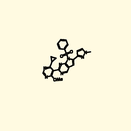 COc1ncnc(C2CC2)c1-c1ncc2cc(-c3ccn(C)n3)n(S(=O)(=O)c3ccccc3)c2n1